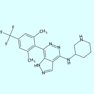 Cc1cc(C(F)(F)F)cc(C)c1-c1nnc(NC2CCCNC2)c2cn[nH]c12